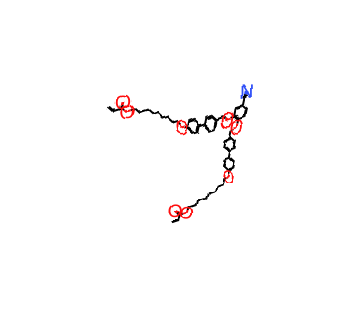 C=CC(=O)OCCCCCCCCCOc1ccc(-c2ccc(COc3ccc(C#N)cc3OCc3ccc(-c4ccc(OCCCCCCCCCOC(=O)C=C)cc4)cc3)cc2)cc1